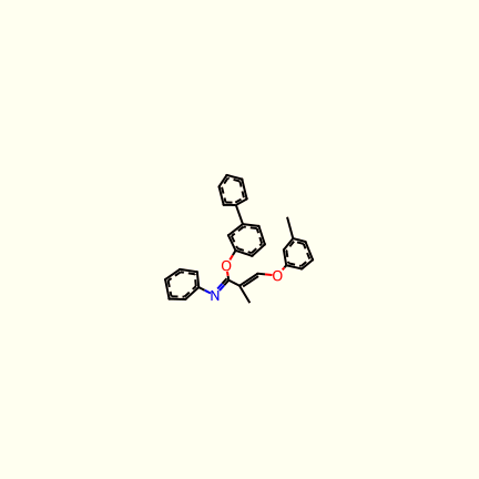 CC(=C\Oc1cccc(C)c1)/C(=N/c1ccccc1)Oc1cccc(-c2ccccc2)c1